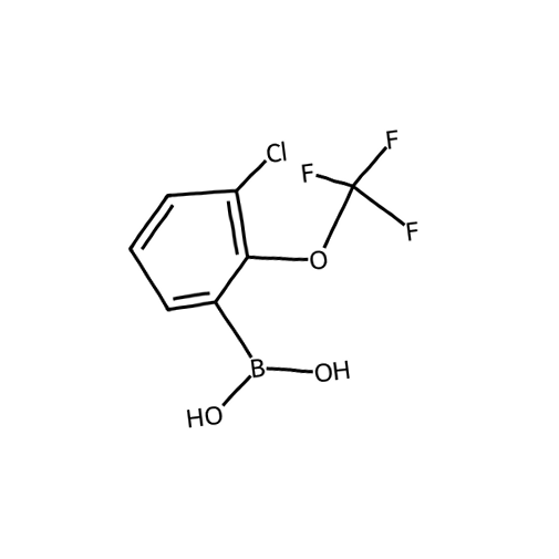 OB(O)c1cccc(Cl)c1OC(F)(F)F